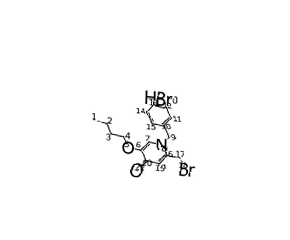 Br.CCCCOc1cn(Cc2ccccc2)c(CBr)cc1=O